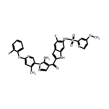 COc1ccnc(S(=O)(=O)Nc2cc3[nH]c(C(=O)c4cnn(-c5cnc(Oc6ccccc6F)cc5C)c4N)cc3cc2F)c1